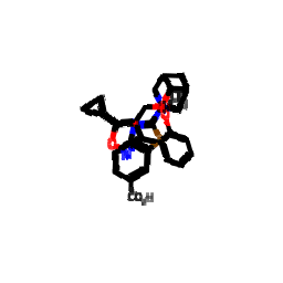 O=C(O)c1ccc2nc(N3CC4CC(C3)C4OCc3c(-c4ccccc4OC(F)(F)F)noc3C3CC3)sc2c1